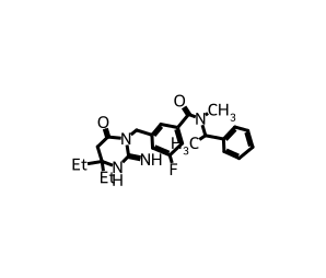 CCC1(CC)CC(=O)N(Cc2cc(F)cc(C(=O)N(C)C(C)c3ccccc3)c2)C(=N)N1